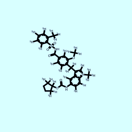 [2H]c1c([2H])c([2H])c(S(=O)(=O)NC(=O)c2c([2H])c([2H])c(C([2H])([2H])c3c([2H])n(C([2H])([2H])[2H])c4c([2H])c([2H])c(NC(=O)OC5([2H])C([2H])([2H])CCC5([2H])[2H])c([2H])c34)c(OC([2H])([2H])[2H])c2[2H])c(C([2H])([2H])[2H])c1[2H]